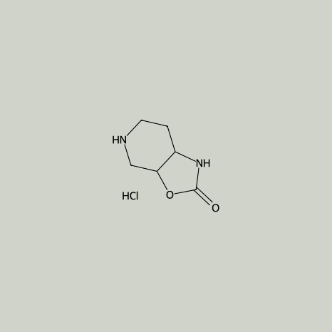 Cl.O=C1NC2CCNCC2O1